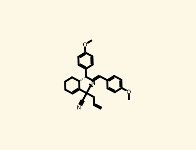 C=CCC(C#N)(C#N)C1=CCCCC1[C@@H](/C=C/c1ccc(OC)cc1)c1ccc(OC)cc1